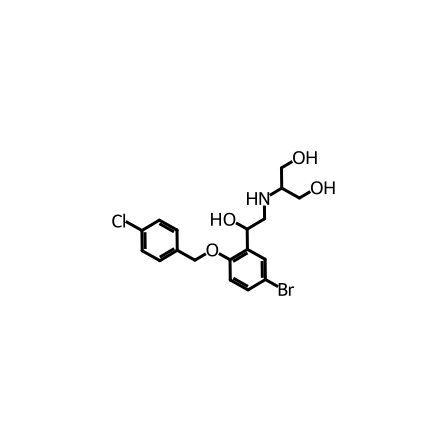 OCC(CO)NCC(O)c1cc(Br)ccc1OCc1ccc(Cl)cc1